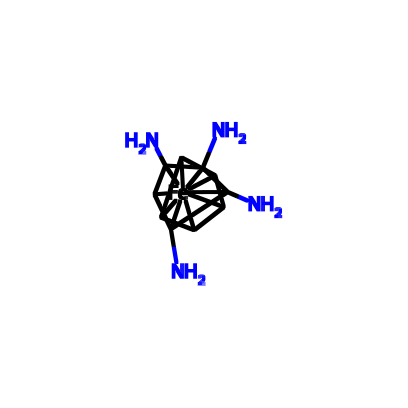 N[C]12[CH]3[C]4(N)[C]5(N)[C]1(N)[Fe]32451678[CH]2[CH]1[CH]6[CH]7[CH]28